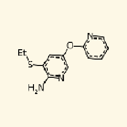 CCSc1cc(Oc2ccccn2)cnc1N